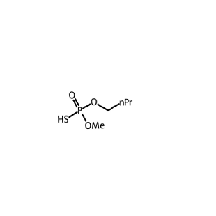 CCCCOP(=O)(S)OC